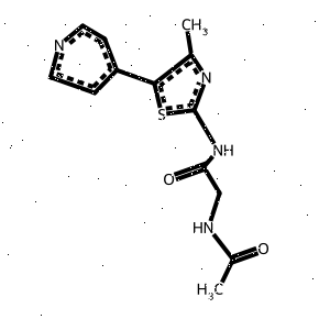 CC(=O)NCC(=O)Nc1nc(C)c(-c2ccncc2)s1